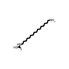 NCCCCCCCCCCCCCCCCNC(=S)S